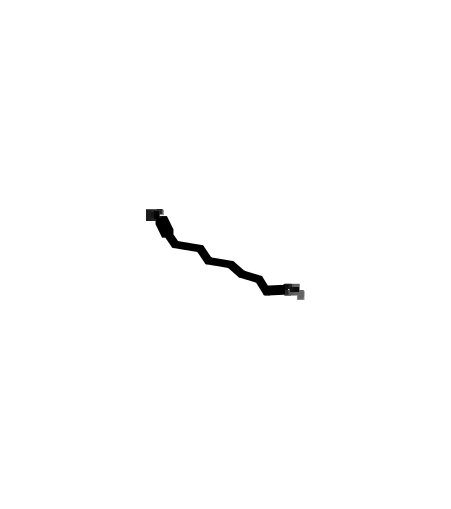 C#CCCCCCCC=C